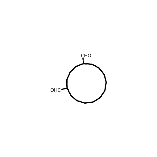 O=CC1CCCCCCCCCCC(C=O)CCC1